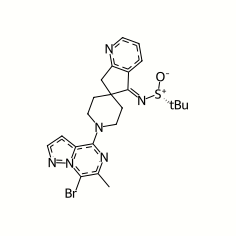 Cc1nc(N2CCC3(CC2)Cc2ncccc2/C3=N\[S@+]([O-])C(C)(C)C)c2ccnn2c1Br